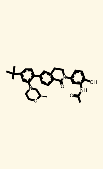 CC(=O)Nc1cc(N2CCc3cc(-c4ccc(C(C)(C)C)cc4N4CCO[C@H](C)C4)ccc3C2=O)ccc1O